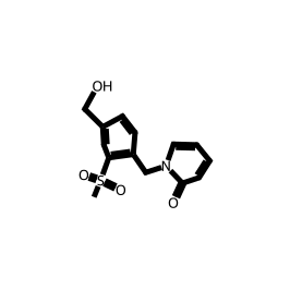 CS(=O)(=O)c1cc(CO)ccc1Cn1ccccc1=O